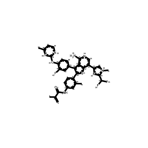 C=C(C)C(=O)Nc1ccc(-c2sc3c(-c4cn(C)c(C(F)F)n4)cnc(N)c3c2-c2ccc(Oc3nccc(C)n3)c(F)c2)c(C)c1